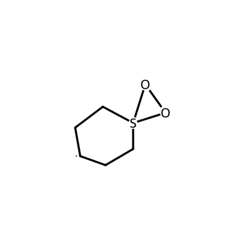 [CH]1CCS2(CC1)OO2